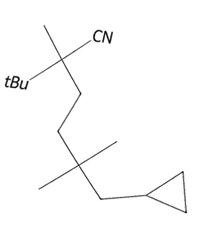 CC(C)(CCC(C)(C#N)C(C)(C)C)CC1CC1